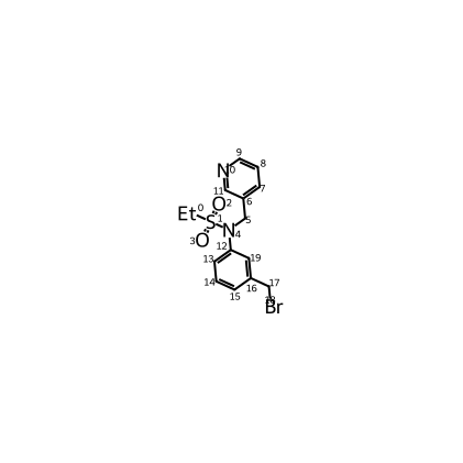 CCS(=O)(=O)N(Cc1cccnc1)c1cccc(CBr)c1